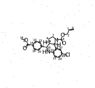 C=CCOC(=O)N1CC[C@@H]2[C@H](c3ccc(C(=O)OC)cc3)Nc3ccc(Cl)cc3[C@@H]21